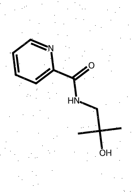 CC(C)(O)CNC(=O)c1cc[c]cn1